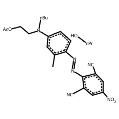 CCCCN(CCOC(C)=O)c1ccc(N=Nc2c(C#N)cc([N+](=O)[O-])cc2C#N)c(C)c1.[CH2]CCO